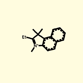 CCC1=[N+](C)c2ccc3ccccc3c2C1(C)C